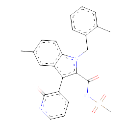 CCc1ccc2c(c1)c(-c1ccc[nH]c1=O)c(C(=O)NS(C)(=O)=O)n2Cc1ccccc1C